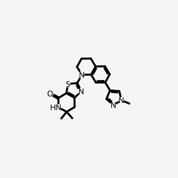 Cn1cc(-c2ccc3c(c2)N(c2nc4c(s2)C(=O)NC(C)(C)C4)CCC3)cn1